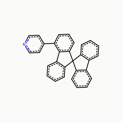 c1ccc2c(c1)-c1ccccc1C21c2ccccc2-c2c(-c3ccncc3)cccc21